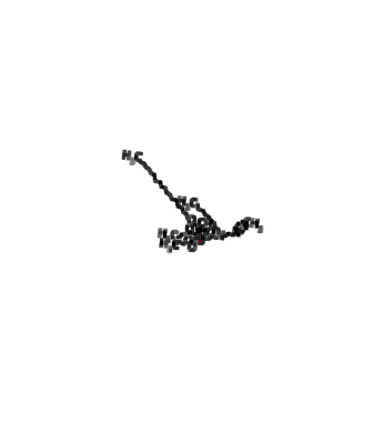 CCCCCCCCCCCCCCCCCCCCOC(=O)C(C)SC(CCCCC)C(OC(=O)CCCN(CCCN1CCN(C)CC1)CC(O)CCCCCCCC)C(=O)OCCC